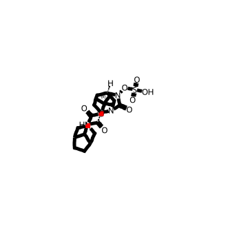 CC(C)(C)OC(=O)N1CC2CCC(C1)C2NC(=O)[C@@H]1CC[C@@H]2CN1C(=O)N2OS(=O)(=O)O